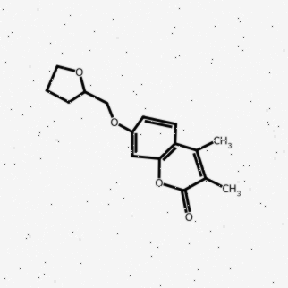 Cc1c(C)c2ccc(OCC3CCCO3)cc2oc1=O